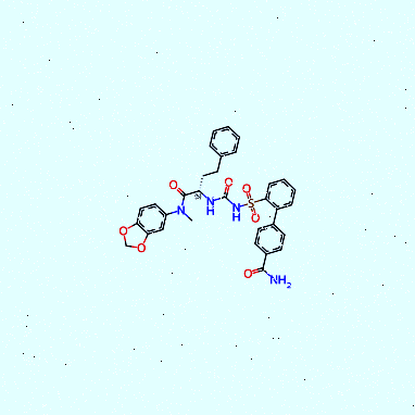 CN(C(=O)[C@H](CCc1ccccc1)NC(=O)NS(=O)(=O)c1ccccc1-c1ccc(C(N)=O)cc1)c1ccc2c(c1)OCO2